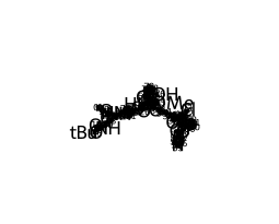 C=CCOC(=O)N[C@H](CCCCNC(=O)OC(C)(C)C)CNc1ccc(COC(=O)Nc2cc(OCCCCCC(=O)N3C[C@@H](CCl)c4c3cc(OC(=O)N3CCN(C)CC3)c3ccccc43)c(OC)cc2C(=O)N2CCC[C@H]2CO)cc1